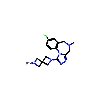 CN1Cc2cc(Cl)ccc2-n2c(nnc2N2CC3(CN(C#N)C3)C2)C1